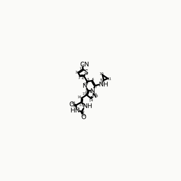 N#Cc1ccc(-c2cc(NC3CC3)n3ncc(C=C4NC(=O)NC4=O)c3n2)s1